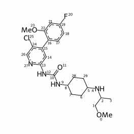 COCC(C)NC1CCC(NC(=O)Nc2cc(-c3ccc(F)cc3OC)c(Cl)cn2)CC1